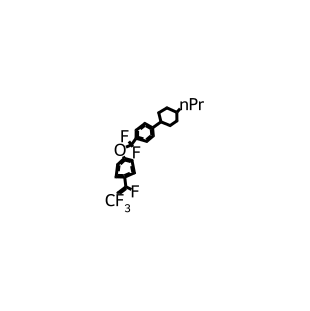 CCCC1CCC(c2ccc(C(F)(F)Oc3ccc(/C(F)=C/C(F)(F)F)cc3)cc2)CC1